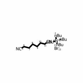 CCCC[N+](CCCC)(CCCC)CCCC.N#CCCCCCCC#N.[Br-]